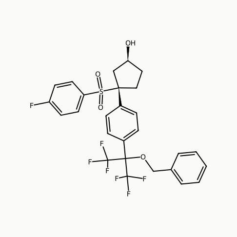 O=S(=O)(c1ccc(F)cc1)[C@@]1(c2ccc(C(OCc3ccccc3)(C(F)(F)F)C(F)(F)F)cc2)CC[C@H](O)C1